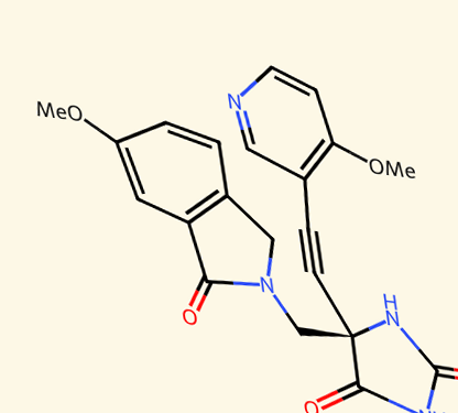 COc1ccc2c(c1)C(=O)N(C[C@@]1(C#Cc3cnccc3OC)NC(=O)NC1=O)C2